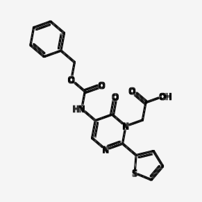 O=C(O)Cn1c(-c2cccs2)ncc(NC(=O)OCc2ccccc2)c1=O